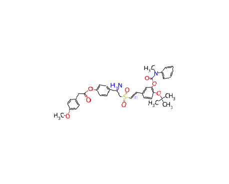 COc1ccc(CC(=O)Oc2ccc(C(N)CS(=O)(=O)/C=C/c3ccc(OC(C)(C)C)c(OC(=O)N(C)c4ccccc4)c3)cc2)cc1